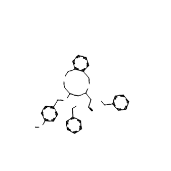 C=C[C@@H](OCc1ccccc1)C1OCc2ccccc2COCC(OCc2ccc(OC)cc2)[C@H]1OCc1ccccc1